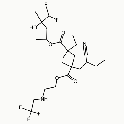 CCC(C#N)CC(C)(CC(C)(CC)C(=O)OC(C)CC(C)(O)C(F)F)C(=O)OCCNCC(F)(F)F